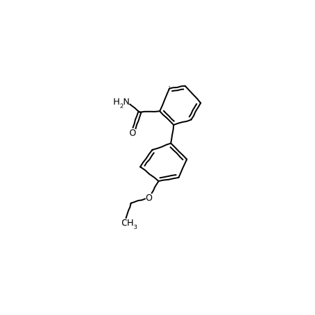 CCOc1ccc(-c2ccc[c]c2C(N)=O)cc1